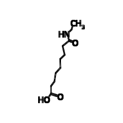 CCNC(=O)CCCCCCCC(=O)O